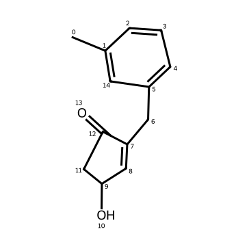 Cc1cccc(CC2=CC(O)CC2=O)c1